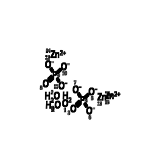 O.O.O.O=P([O-])([O-])[O-].O=P([O-])([O-])[O-].[Zn+2].[Zn+2].[Zn+2]